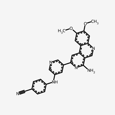 COc1cc2ncc3c(N)nc(-c4cncc(Nc5ccc(C#N)cc5)c4)cc3c2cc1OC